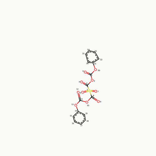 O=C(OC(=O)S(=O)(=O)C(=O)OC(=O)Oc1ccccc1)Oc1ccccc1